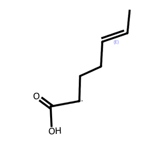 C/C=C/CC[CH]C(=O)O